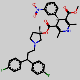 COC(=O)C1=C(C)NC(C)=C(C(=O)O[C@@]2(C)CCN(CCC(c3ccc(F)cc3)c3ccc(F)cc3)C2)[C@H]1c1cccc([N+](=O)[O-])c1